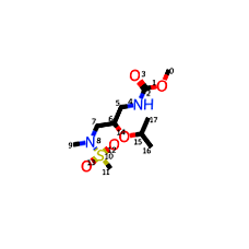 COC(=O)NCC(CN(C)S(C)(=O)=O)OC(C)C